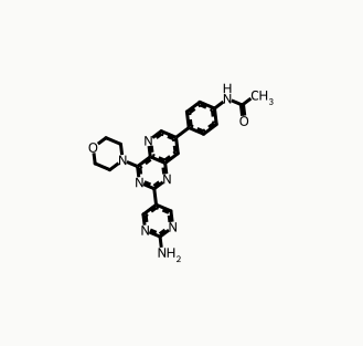 CC(=O)Nc1ccc(-c2cnc3c(N4CCOCC4)nc(-c4cnc(N)nc4)nc3c2)cc1